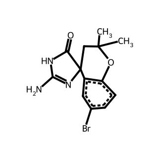 CC1(C)CC2(N=C(N)NC2=O)c2cc(Br)ccc2O1